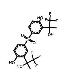 CC(O)(c1cc(S(=O)(=O)c2ccc(O)c(C(C)(O)C(F)(F)F)c2)ccc1O)C(F)(F)F